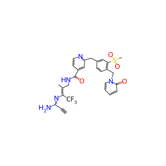 C#C/C(N)=N\C(=C(/C)CNC(=O)c1ccnc(Cc2ccc(Cn3ccccc3=O)c(S(C)(=O)=O)c2)c1)C(F)(F)F